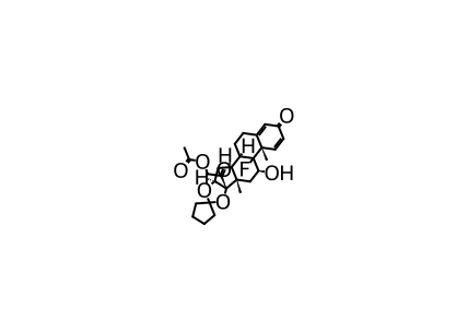 CC(=O)OCC(=O)[C@@]12OC3(CCCC3)O[C@H]1C[C@H]1[C@@H]3CCC4=CC(=O)C=C[C@]4(C)C3(F)[C@@H](O)C[C@@]12C